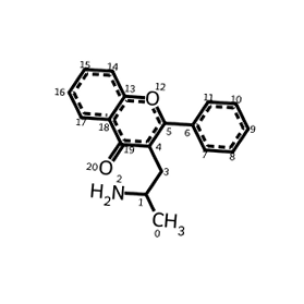 CC(N)Cc1c(-c2ccccc2)oc2ccccc2c1=O